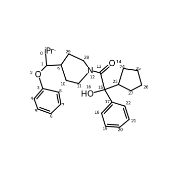 C[C](C)C(Oc1ccccc1)C1CCN(C(=O)C(O)(c2ccccc2)C2CCCC2)CC1